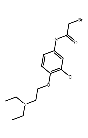 CCN(CC)CCOc1ccc(NC(=O)CBr)cc1Cl